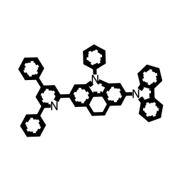 c1ccc(-c2cc(-c3ccccc3)nc(-c3cc4c5c6c(cc(-n7c8ccccc8c8ccccc87)cc6n(-c6ccccc6)c5c3)CC4)c2)cc1